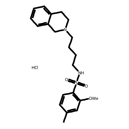 COc1cc(C)ccc1S(=O)(=O)NCCCCN1CCc2ccccc2C1.Cl